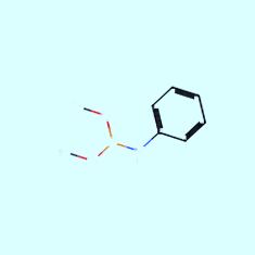 CCOP(Nc1ccccc1)OCC